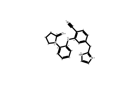 N#Cc1ccc(Cc2ncc[nH]2)cc1Oc1ccccc1N1CCCC1=O